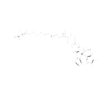 CN(CCOCCCCCCO[Si](C)(C)C(C)(C)C)[C@H]1CC[C@H](OC(=O)C(O)(c2cccs2)c2cccs2)CC1